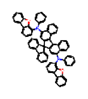 c1ccc(N(c2cc3c(c4ccccc24)-c2c(cc(N(c4ccccc4)c4cccc5c4oc4ccccc45)c4ccccc24)C32c3ccccc3-c3ccccc32)c2cccc3c2oc2ccccc23)cc1